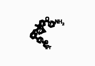 Cc1c(-c2cc3cccc(C4CCN(C(=O)CC(C)C)CC4)c3n2CC2CC2)nn2cc(C(=O)N3CCC[C@@H](N)C3)ccc12